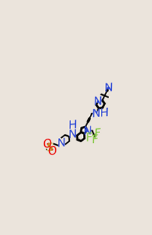 CC(C)(C#N)c1ccc(NCC#Cc2cc3c(NC4CCN(CCS(C)(=O)=O)CC4)cccc3n2CC(F)(F)F)cn1